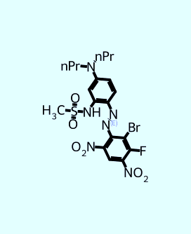 CCCN(CCC)c1ccc(/N=N/c2c([N+](=O)[O-])cc([N+](=O)[O-])c(F)c2Br)c(NS(C)(=O)=O)c1